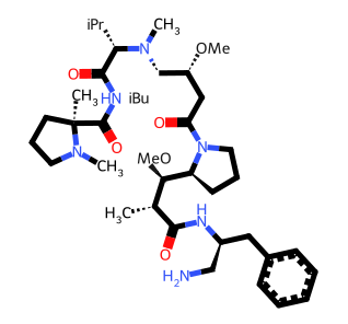 CC[C@H](C)[C@@H]([C@@H](CC(=O)N1CCC[C@H]1[C@H](OC)[C@@H](C)C(=O)N[C@H](CN)Cc1ccccc1)OC)N(C)[C@H](C(=O)NC(=O)[C@]1(C)CCCN1C)C(C)C